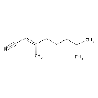 C/C(=C\C#N)CCCC(C)C